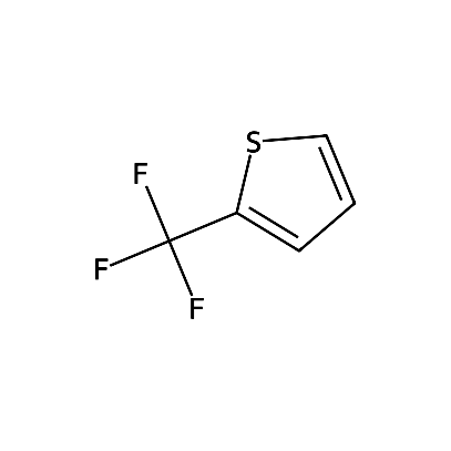 FC(F)(F)c1cccs1